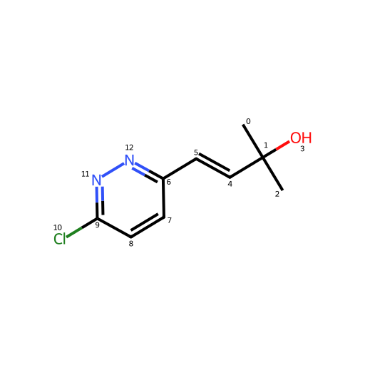 CC(C)(O)C=Cc1ccc(Cl)nn1